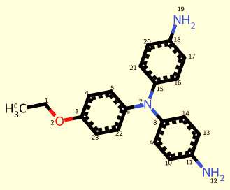 CCOc1ccc(N(c2ccc(N)cc2)c2ccc(N)cc2)cc1